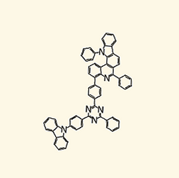 c1ccc(-c2nc(-c3ccc(-c4cccc5c4nc(-c4ccccc4)c4ccc6c7ccccc7n(-c7ccccc7)c6c45)cc3)nc(-c3ccc(-n4c5ccccc5c5ccccc54)cc3)n2)cc1